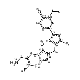 CCn1cc(-c2cc(F)c(Cn3cnn(CC(CN)=C(F)F)c3=O)s2)ccc1=O